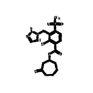 CS(=O)(=O)c1ccc(C(=O)OC2CCCCC(=O)C2)c(Cl)c1CN1NC=NN1